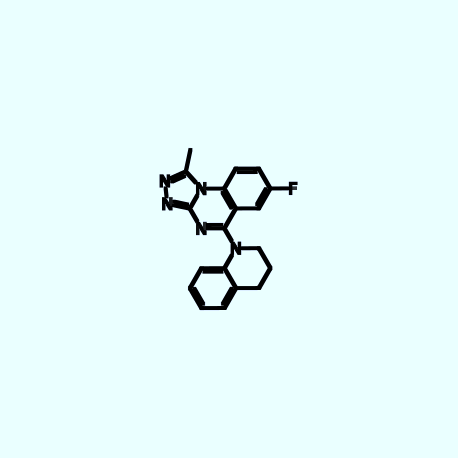 Cc1nnc2nc(N3CCCc4ccccc43)c3cc(F)ccc3n12